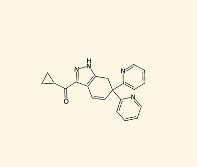 O=C(c1n[nH]c2c1C=CC(c1ccccn1)(c1ccccn1)C2)C1CC1